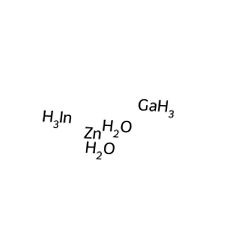 O.O.[GaH3].[InH3].[Zn]